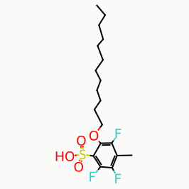 CCCCCCCCCCCCOc1c(F)c(C)c(F)c(F)c1S(=O)(=O)O